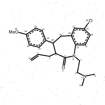 C=CCC1C(=O)N(CCN(C)C)c2ccc(Cl)cc2CC1c1ccc(OC)cc1